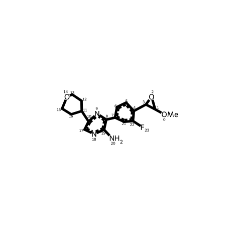 COC1OC1c1ccc(-c2nc(C3CCOCC3)cnc2N)cc1F